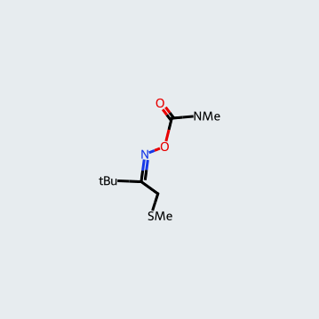 CNC(=O)ON=C(CSC)C(C)(C)C